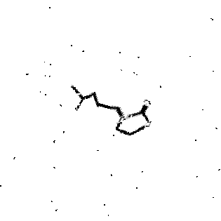 CC(C)CCCN1CCOC1=O